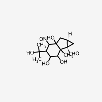 CC(C)(O)C1C(O)C(O)C2(C)C(O)(C[C@H]3C[C@]32C=O)C1N=O